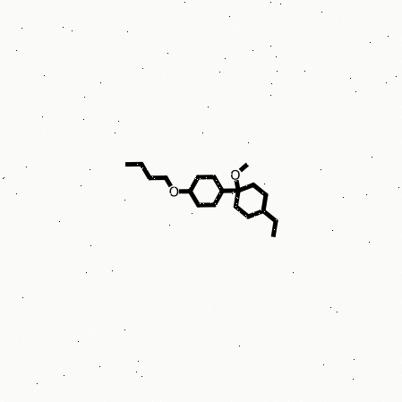 CCCCOC1CCC(C2(OC)CCC(CC)CC2)CC1